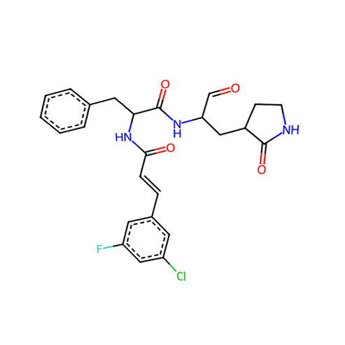 O=CC(CC1CCNC1=O)NC(=O)C(Cc1ccccc1)NC(=O)/C=C/c1cc(F)cc(Cl)c1